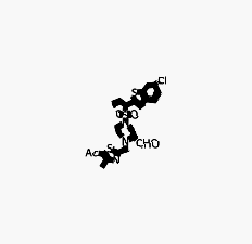 C=CC(c1cc2ccc(Cl)cc2s1)S(=O)(=O)N1CCN(Cc2nc(C)c(C(C)=O)s2)C(C=O)C1